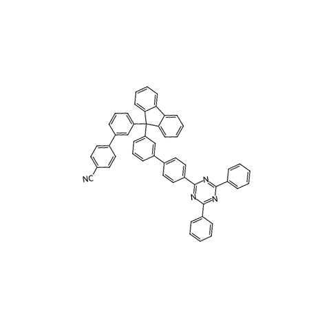 N#Cc1ccc(-c2cccc(C3(c4cccc(-c5ccc(-c6nc(-c7ccccc7)nc(-c7ccccc7)n6)cc5)c4)c4ccccc4-c4ccccc43)c2)cc1